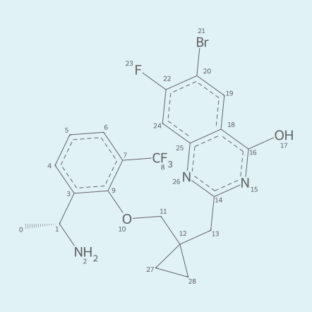 C[C@@H](N)c1cccc(C(F)(F)F)c1OCC1(Cc2nc(O)c3cc(Br)c(F)cc3n2)CC1